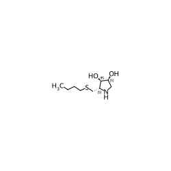 CCCCSC[C@H]1NC[C@H](O)[C@@H]1O